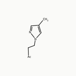 CC(=O)CCn1cc(C)cn1